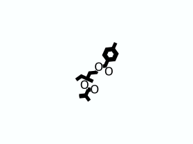 C=C(C)C(=O)OC(C)(CC)CCOC(=O)c1ccc(C)cc1